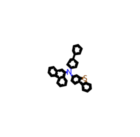 c1ccc(-c2ccc(N(c3ccc4c(c3)sc3ccccc34)c3cc4ccccc4c4ccccc34)cc2)cc1